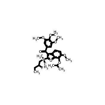 CCC(F)C[Si](C)(C)c1oc2c(OC(C)C)c(OC)ccc2c1C(=O)c1cc(OC)c(OC)c(OC)c1